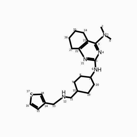 CN(C)c1nc(NC2CCC(CNCc3ccsc3)CC2)nc2c1CCCC2